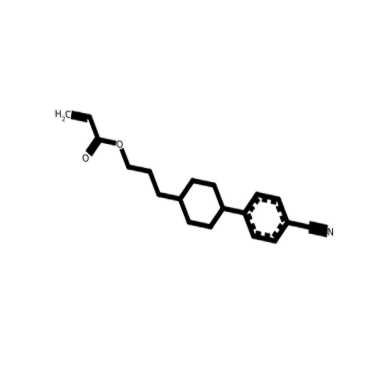 C=CC(=O)OCCCC1CCC(c2ccc(C#N)cc2)CC1